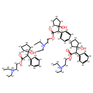 CCN(CC)CCOC(=O)C(c1ccccc1)C1(O)CCCC1.CCN(CC)CCOC(=O)C(c1ccccc1)C1(O)CCCC1.CCN(CC)CCOC(=O)C(c1ccccc1)C1(O)CCCC1